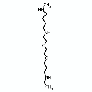 CCNCCCOCCOCCNCCCONC